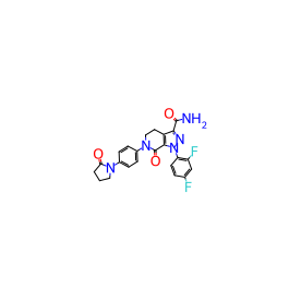 NC(=O)c1nn(-c2ccc(F)cc2F)c2c1CCN(c1ccc(N3CCCC3=O)cc1)C2=O